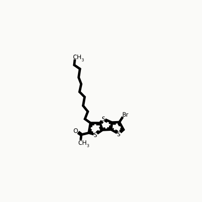 CCCCCCCCCCc1c(C(C)=O)sc2c1sc1c(Br)csc12